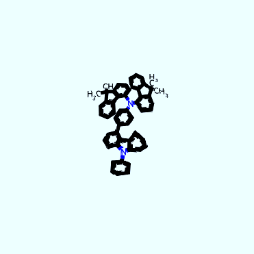 CC1(C)c2ccccc2-c2c(N(c3ccc(-c4cccc5c4c4ccccc4n5-c4ccccc4)cc3)c3cccc4c3-c3ccccc3C4(C)C)cccc21